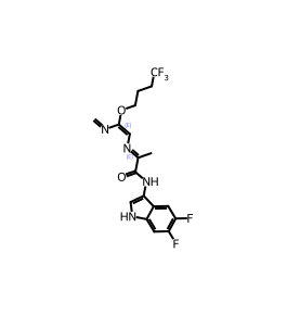 C=N/C(=C\N=C(/C)C(=O)Nc1c[nH]c2cc(F)c(F)cc12)OCCCC(F)(F)F